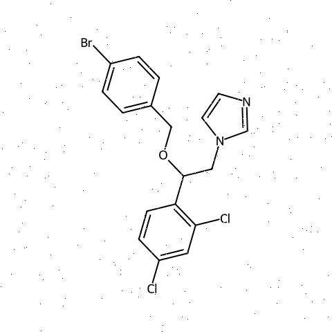 Clc1ccc(C(Cn2ccnc2)OCc2ccc(Br)cc2)c(Cl)c1